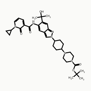 CC(C)(C)OC(=O)N1CCN(C2CCC(n3cc4cc(NC(=O)c5cccn(C6CC6)c5=O)c(C(C)(C)O)cc4n3)CC2)CC1